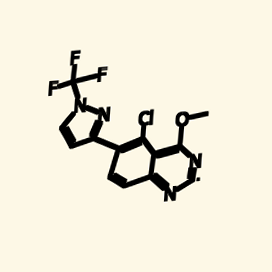 COc1n[c]nc2ccc(-c3ccn(C(F)(F)F)n3)c(Cl)c12